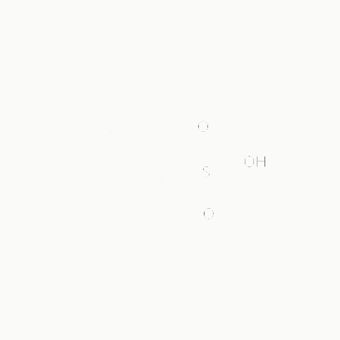 O=S(=O)(O)c1[c]cc[c]c1